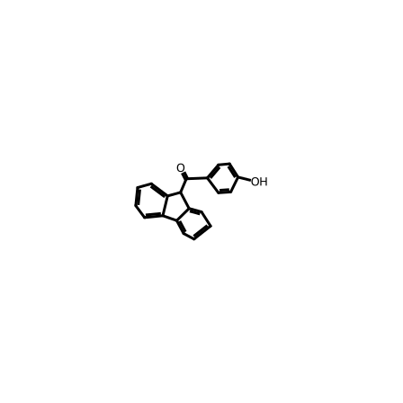 O=C(c1ccc(O)cc1)C1c2ccccc2-c2ccccc21